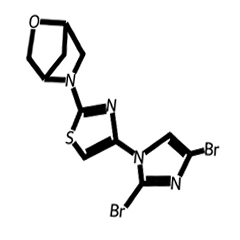 Brc1cn(-c2csc(N3CC4CC3CO4)n2)c(Br)n1